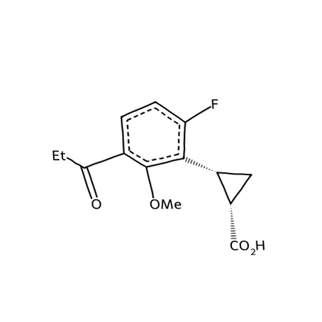 CCC(=O)c1ccc(F)c([C@@H]2C[C@@H]2C(=O)O)c1OC